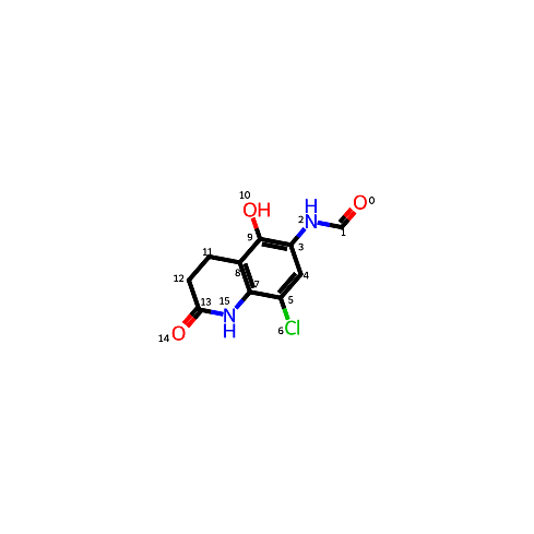 O=CNc1cc(Cl)c2c(c1O)CCC(=O)N2